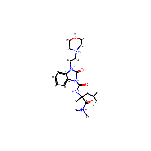 CC(C)CC(C)(NC(=O)n1c(=O)n(CCN2CCOCC2)c2ccccc21)C(=O)N(C)C